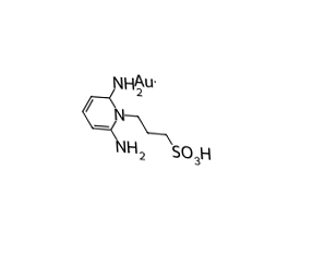 NC1=CC=CC(N)N1CCCS(=O)(=O)O.[Au]